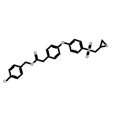 O=C(Cc1ccc(Oc2ccc(S(=O)(=O)CC3CS3)cc2)cc1)OCc1ccc(Cl)cc1